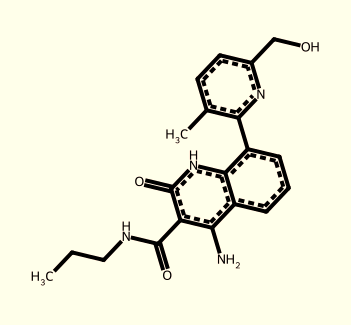 CCCNC(=O)c1c(N)c2cccc(-c3nc(CO)ccc3C)c2[nH]c1=O